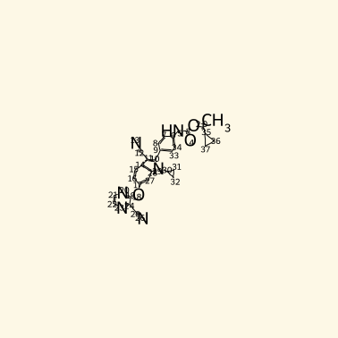 C[C@@H](OC(=O)Nc1ccc(-c2c(C#N)c3ccc(Oc4nccnc4C#N)cc3n2C2CC2)cc1)C1CC1